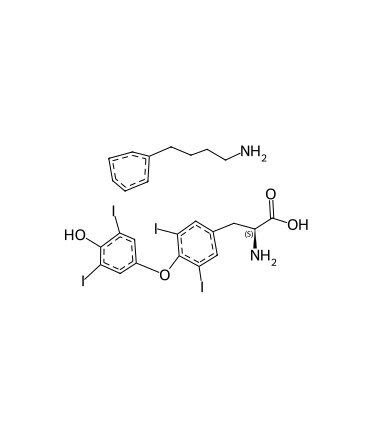 NCCCCc1ccccc1.N[C@@H](Cc1cc(I)c(Oc2cc(I)c(O)c(I)c2)c(I)c1)C(=O)O